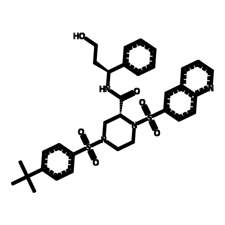 CC(C)(C)c1ccc(S(=O)(=O)N2CCN(S(=O)(=O)c3ccc4ncccc4c3)[C@@H](C(=O)N[C@@H](CCO)c3ccccc3)C2)cc1